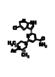 CC(=O)N1[C@H](C)CN(c2cc(C(N)=O)cc(-c3c[nH]c4ncc(Cl)cc34)n2)C[C@@H]1C